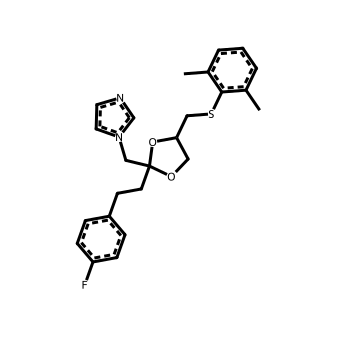 Cc1cccc(C)c1SCC1COC(CCc2ccc(F)cc2)(Cn2ccnc2)O1